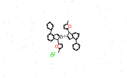 Cc1ccc(C2[C]([Zr+2][C]3=Cc4c(-c5ccccc5)cccc4C3c3ccc(C)o3)=Cc3c(-c4ccccc4)cccc32)o1.[Cl-].[Cl-]